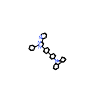 c1ccc(-c2nc(-c3ccc(-c4ccc(-n5c6ccccc6c6ccccc65)cc4)cc3)cc(-c3ccccn3)n2)cc1